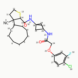 N#CC1(C2CCCCCCCC2)CCSC1C(=O)NC12CC(NC(=O)COc3ccc(Cl)c(F)c3)(C1)C2